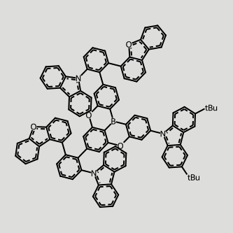 CC(C)(C)c1ccc2c(c1)c1cc(C(C)(C)C)ccc1n2-c1ccc2c(c1)Oc1cc(-c3c(-c4cccc5oc6ccccc6c45)cccc3-n3c4ccccc4c4ccccc43)cc3c1B2c1ccc(-c2c(-c4cccc5c4oc4ccccc45)cccc2-n2c4ccccc4c4ccccc42)cc1O3